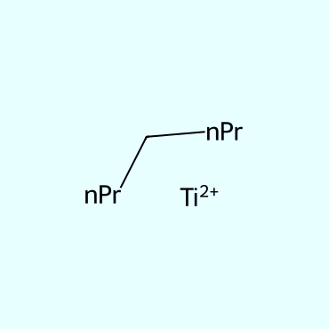 [CH2-]CCCCC[CH2-].[Ti+2]